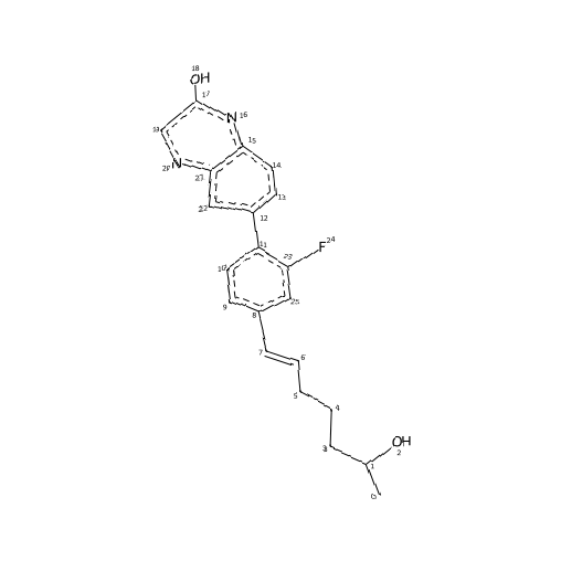 CC(O)CCC/C=C/c1ccc(-c2ccc3nc(O)cnc3c2)c(F)c1